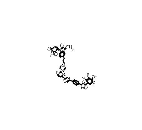 Cn1c(=O)n([C@@H]2CCC(=O)NC2=O)c2ccc(CCCN3CCN(c4nccc(-c5nc(C67CCC(CNC(=O)c8cc(F)c(O)c(F)c8F)(CC6)CC7)cs5)n4)CC3)cc21